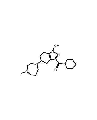 CCCn1nc(C(=O)N2CCCCC2)c2c1CCC(N1CCCN(C)CC1)C2